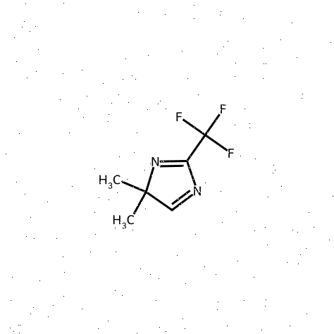 CC1(C)C=NC(C(F)(F)F)=N1